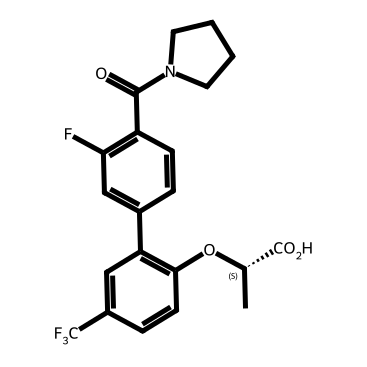 C[C@H](Oc1ccc(C(F)(F)F)cc1-c1ccc(C(=O)N2CCCC2)c(F)c1)C(=O)O